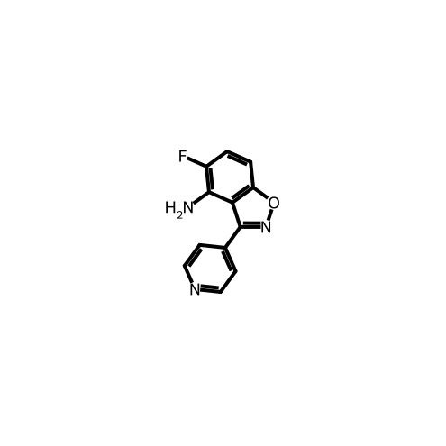 Nc1c(F)ccc2onc(-c3ccncc3)c12